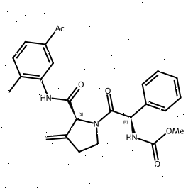 C=C1CCN(C(=O)[C@H](NC(=O)OC)c2ccccc2)[C@@H]1C(=O)Nc1cc(C(C)=O)ccc1C